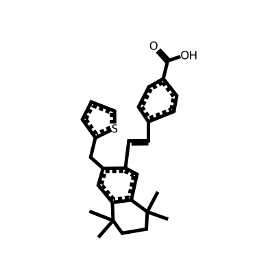 CC1(C)CCC(C)(C)c2cc(Cc3cccs3)c(C=Cc3ccc(C(=O)O)cc3)cc21